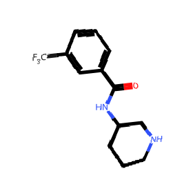 O=C(NC1CCCNC1)c1cccc(C(F)(F)F)c1